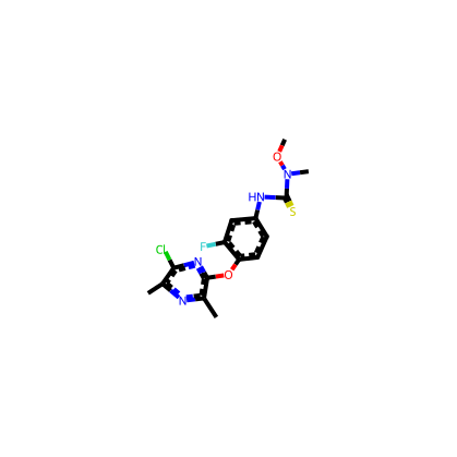 CON(C)C(=S)Nc1ccc(Oc2nc(Cl)c(C)nc2C)c(F)c1